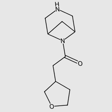 O=C(CC1CCOC1)N1C2CNCC1C2